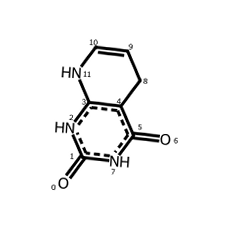 O=c1[nH]c2c(c(=O)[nH]1)CC=CN2